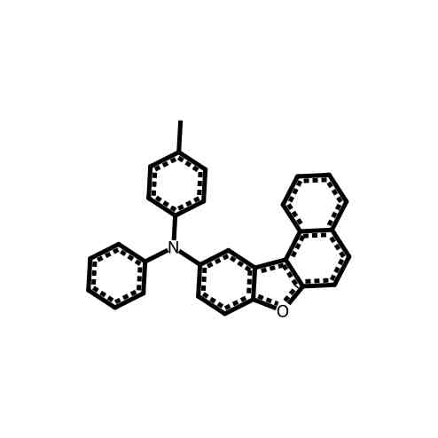 Cc1ccc(N(c2ccccc2)c2ccc3oc4ccc5ccccc5c4c3c2)cc1